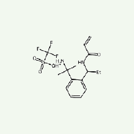 C=CC(=O)NC(CC)c1ccccc1C(C)(C)N.O=S(=O)(O)C(F)(F)F